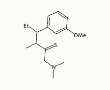 CCC(c1cccc(OC)c1)C(C)C(=S)CN(C)C